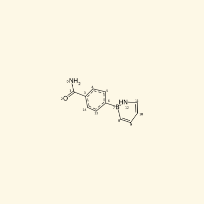 NC(=O)c1ccc(B2C=CC=CN2)cc1